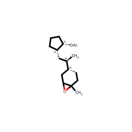 CC(=O)O[C@H]1CCC[C@H]1C[C@@H](C)[C@@H]1CCC2(C)OC2C1